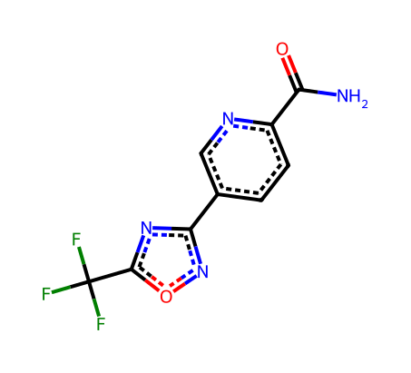 NC(=O)c1ccc(-c2noc(C(F)(F)F)n2)cn1